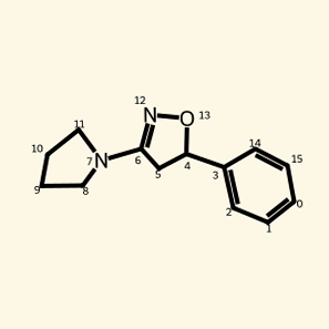 c1ccc(C2CC(N3CCCC3)=NO2)cc1